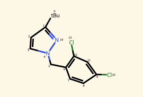 CC(C)(C)c1c[c]n(Cc2ccc(Cl)cc2Cl)n1